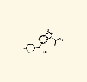 Cl.NC(=O)c1n[nH]c2ccc(CC3CCNCC3)cc12